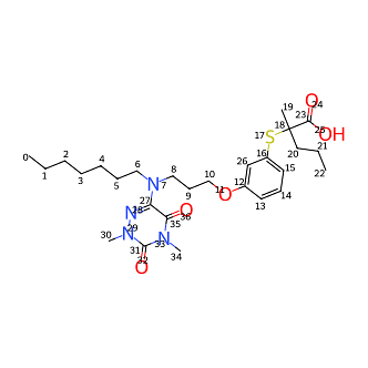 CCCCCCCN(CCCOc1cccc(SC(C)(CCC)C(=O)O)c1)c1nn(C)c(=O)n(C)c1=O